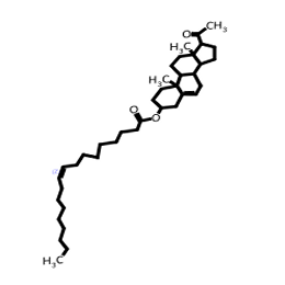 CCCCCCCC/C=C\CCCCCCCC(=O)OC1CCC2(C)C(=CCC3C2CCC2(C)C(C(C)=O)CCC32)C1